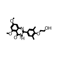 [2H]n1c(-c2cc(C)c(OCCO)c(C)c2)nc2cc(OC)cc(OC)c2c1=O